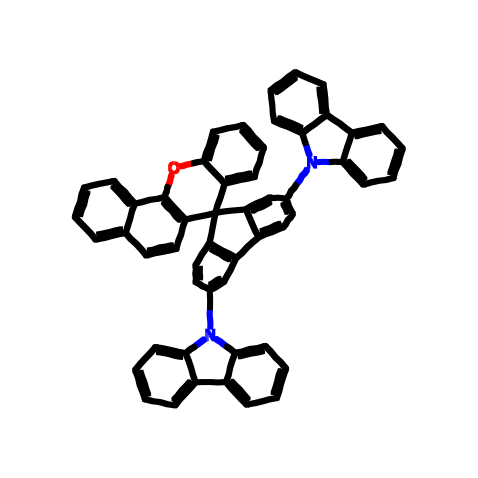 c1ccc2c(c1)Oc1c(ccc3ccccc13)C21c2ccc(-n3c4ccccc4c4ccccc43)cc2-c2ccc(-n3c4ccccc4c4ccccc43)cc21